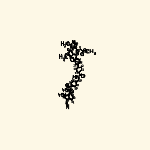 COC(=O)C[C@@H]1N=C(c2ccc(-c3ccc(C(=O)NCc4ccc(S(=O)(=O)Nc5cccc6c(C#N)c[nH]c56)cc4)cc3)cc2)c2c(sc(C)c2C)-n2c(C)nnc21